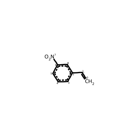 C=[C]c1cccc([N+](=O)[O-])c1